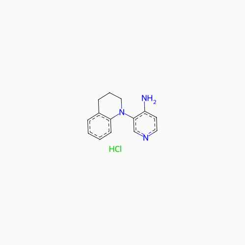 Cl.Nc1ccncc1N1CCCc2ccccc21